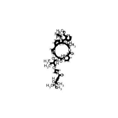 CO[C@@H](C)c1ncccc1-c1c2c3cc(ccc3n1CC(F)(F)F)-c1csc(n1)C[C@H](NC(=O)C(COC1CN(C(=O)C#CC(C)(C)N(C)C)C1)C(C)C)C(=O)N1CCC[C@H](N1)C(=O)OCC(C)(C)C2